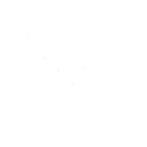 CN1C(=O)C(NC(=S)NC2CN3CCC2CC3)N=C(c2ccccc2)c2cc(Cl)ccc21